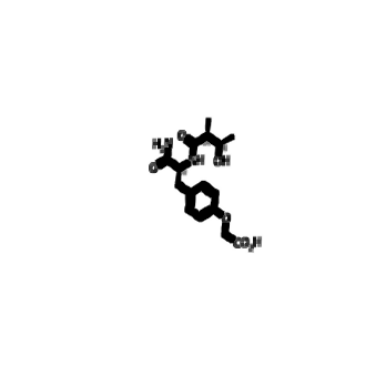 C[C@H](C(=O)N[C@@H](Cc1ccc(OCC(=O)O)cc1)C(N)=O)[C@@H](C)O